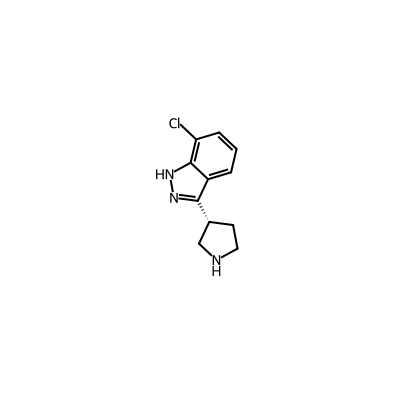 Clc1cccc2c([C@@H]3CCNC3)n[nH]c12